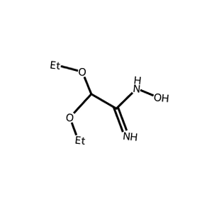 CCOC(OCC)C(=N)NO